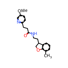 COc1ccc(CCC(=O)NCCC2COc3c(C)cccc32)nc1